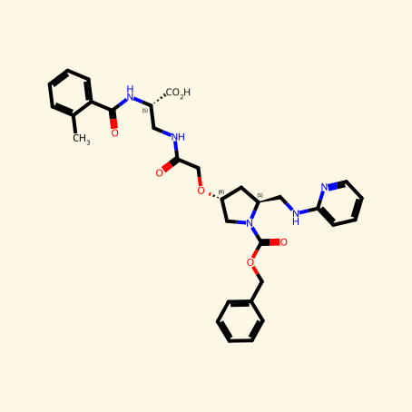 Cc1ccccc1C(=O)N[C@@H](CNC(=O)CO[C@@H]1C[C@@H](CNc2ccccn2)N(C(=O)OCc2ccccc2)C1)C(=O)O